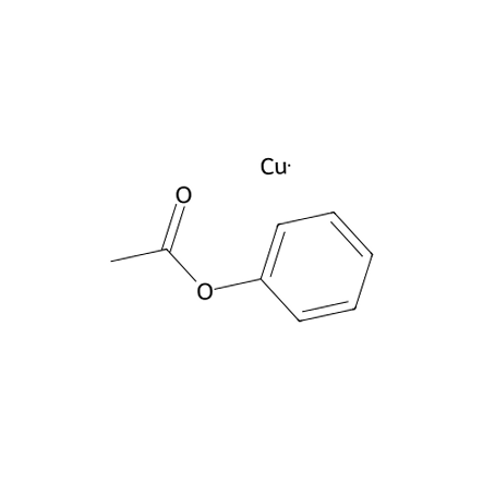 CC(=O)Oc1ccccc1.[Cu]